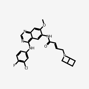 COc1cc2ncnc(Nc3ccc(F)c(Cl)c3)c2cc1NC(=O)/C=C/CN1CC2CCC21